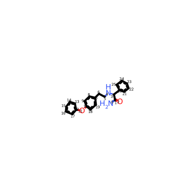 NC(=O)[C@@H](NCCc1ccc(Oc2ccccc2)cc1)c1ccccc1